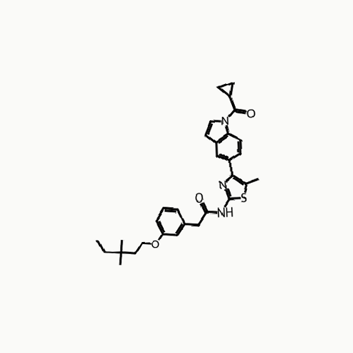 CCC(C)(C)CCOc1cccc(CC(=O)Nc2nc(-c3ccc4c(ccn4C(=O)C4CC4)c3)c(C)s2)c1